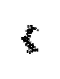 Cc1cc(N(C)Cc2ccc(C(=N)N)cc2)cc(N(C)Cc2ccc(C(=N)N)cc2)c1